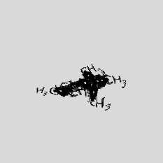 Cc1ccc([B-](c2ccc(C)cc2)(c2ccc(C)cc2)c2ccc(C)cc2)cc1.Cc1ccc([P+](C)(C)C)cc1